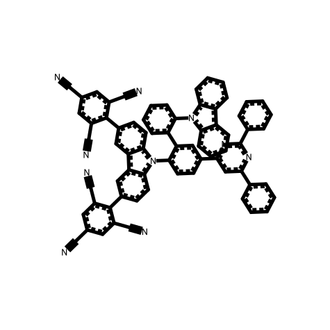 N#Cc1cc(C#N)c(-c2ccc3c(c2)c2cc(-c4c(C#N)cc(C#N)cc4C#N)ccc2n3-c2ccc(-c3cc(-c4ccccc4)nc(-c4ccccc4)n3)cc2-c2ccccc2-n2c3ccccc3c3ccccc32)c(C#N)c1